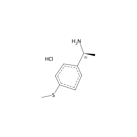 CSc1ccc([C@H](C)N)cc1.Cl